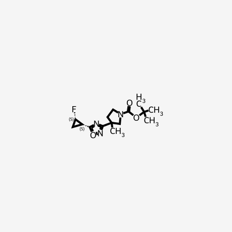 CC(C)(C)OC(=O)N1CCC(C)(c2noc([C@@H]3C[C@@H]3F)n2)C1